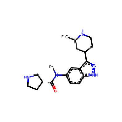 CCN(C(=O)[C@@H]1CCNC1)c1ccc2[nH]nc(C3CCNC(C(F)(F)F)C3)c2c1